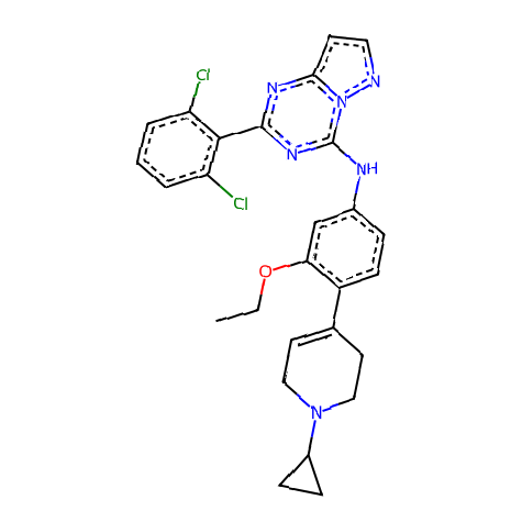 CCOc1cc(Nc2nc(-c3c(Cl)cccc3Cl)nc3ccnn23)ccc1C1=CCN(C2CC2)CC1